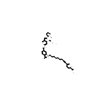 Cc1nn(CCCCCCCC#Cc2ccc(C(=O)OC(C)(C)C)nc2)c2cc(C(=O)Nc3cc4c(cn3)cc([C@H]3CCCN3C)n4C(=O)OC(C)(C)C)ccc12